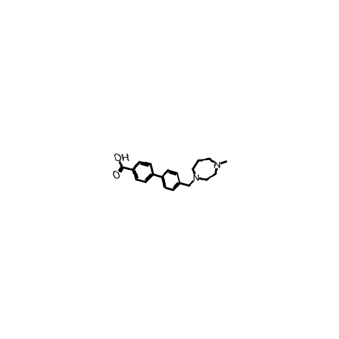 CN1CCCN(Cc2ccc(-c3ccc(C(=O)O)cc3)cc2)CC1